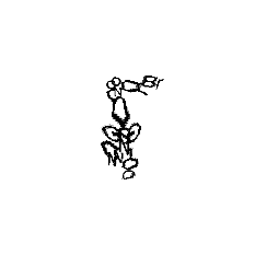 COc1ccc(CN(c2cccnn2)S(=O)(=O)c2ccc3c(ccc(=O)n3-c3cc(C)c(Br)cc3OC)c2)cc1